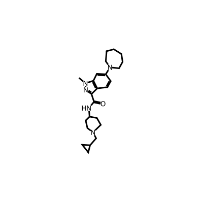 Cn1nc(C(=O)NC2CCN(CC3CC3)CC2)c2ccc(N3CCCCCC3)cc21